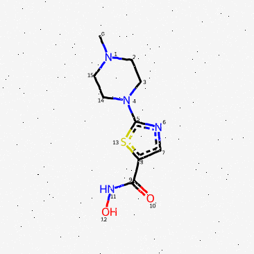 CN1CCN(c2ncc(C(=O)NO)s2)CC1